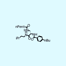 CCCCCC(=O)NC[C@H](NC(=O)c1ccc(CCCC)cc1)C(=O)NCCC(C)C